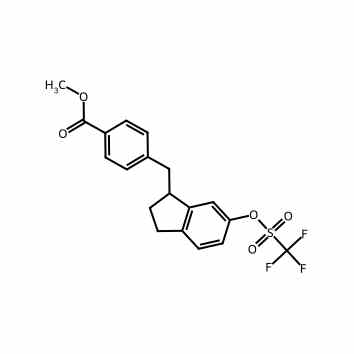 COC(=O)c1ccc(CC2CCc3ccc(OS(=O)(=O)C(F)(F)F)cc32)cc1